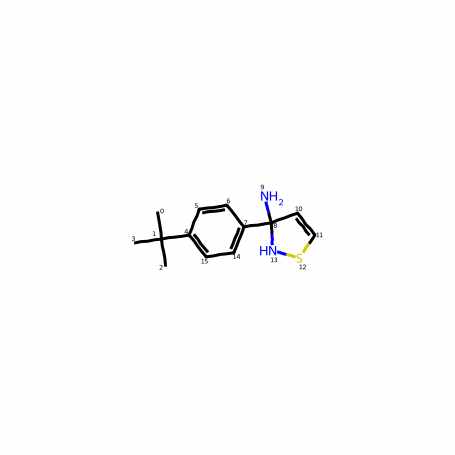 CC(C)(C)c1ccc(C2(N)C=CSN2)cc1